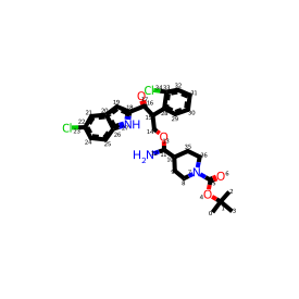 CC(C)(C)OC(=O)N1CCC(C(N)OCC(C(=O)c2cc3cc(Cl)ccc3[nH]2)c2ccccc2Cl)CC1